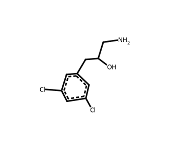 NCC(O)Cc1cc(Cl)cc(Cl)c1